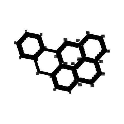 c1ccc2c(c1)Cc1ccc3ccc4cccc5cc-2c1c3c45